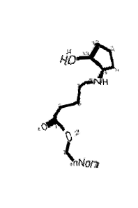 CCCCCCCCCCOC(=O)CCCNC1CCCC1O